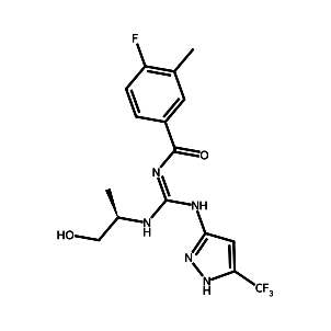 Cc1cc(C(=O)/N=C(\Nc2cc(C(F)(F)F)[nH]n2)N[C@H](C)CO)ccc1F